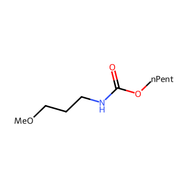 CCCCCOC(=O)NCCCOC